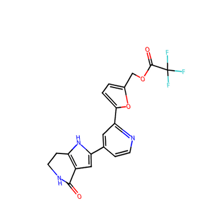 O=C1NCCc2[nH]c(-c3ccnc(-c4ccc(COC(=O)C(F)(F)F)o4)c3)cc21